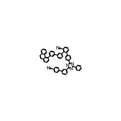 N#Cc1ccc(-c2cccc(-c3nc(-c4ccccc4)nc(-c4ccc(-c5cccc(C#N)c5-c5cccc(-c6cccc(-c7cccc8ccc9ccccc9c78)c6)c5)cc4)n3)c2)cc1